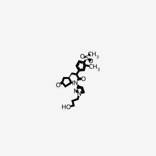 Cc1cc(C(C[C@H]2CCC(=O)C2)C(=O)Nc2ccn(CCCO)n2)ccc1S(C)(=O)=O